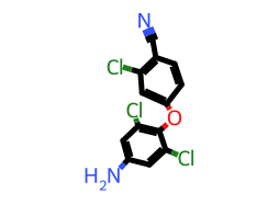 N#Cc1ccc(Oc2c(Cl)cc(N)cc2Cl)cc1Cl